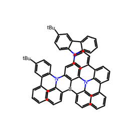 CC(C)(C)c1ccc(N2c3ccccc3B3c4ccccc4N(c4c(-c5ccccc5)cccc4-c4ccccc4)c4cc(-n5c6ccccc6c6cc(C(C)(C)C)ccc65)cc2c43)c(-c2ccccc2)c1